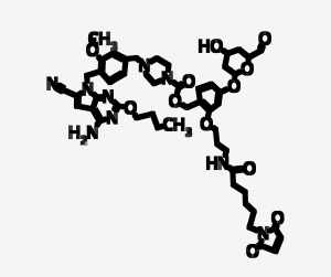 CCCCOc1nc(N)c2cc(C#N)n(Cc3ccc(CN4CCN(C(=O)OCc5ccc(OC6CC(O)CC(C=O)O6)cc5OCCCNC(=O)CCCCCN5C(=O)C=CC5=O)CC4)cc3OC)c2n1